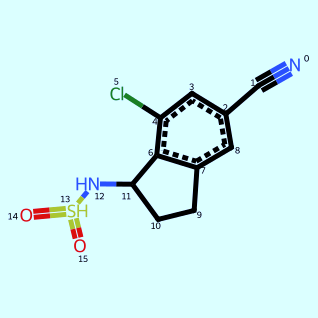 N#Cc1cc(Cl)c2c(c1)CCC2N[SH](=O)=O